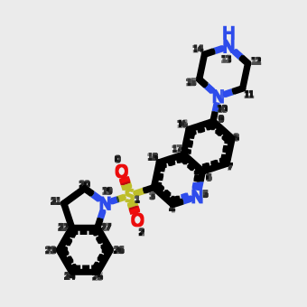 O=S(=O)(c1cnc2ccc(N3CCNCC3)cc2c1)N1CCc2ccccc21